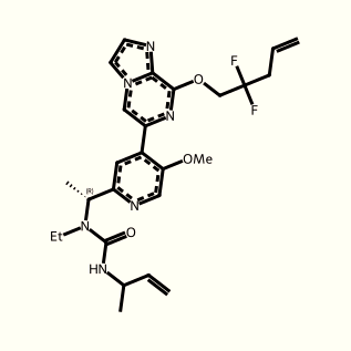 C=CCC(F)(F)COc1nc(-c2cc([C@@H](C)N(CC)C(=O)NC(C)C=C)ncc2OC)cn2ccnc12